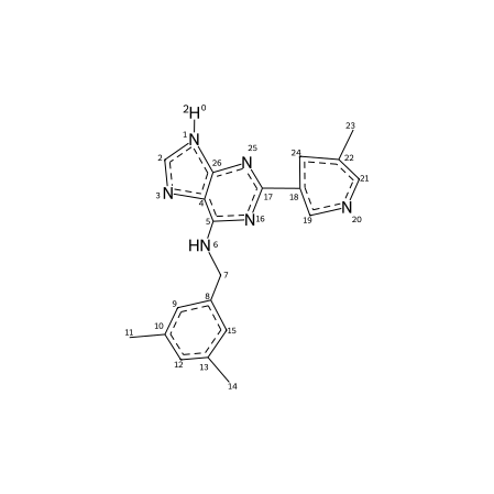 [2H]n1cnc2c(NCc3cc(C)cc(C)c3)nc(-c3cncc(C)c3)nc21